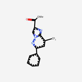 COC(=O)c1cn2nc(-c3ccccc3)cc(C(F)(F)F)c2n1